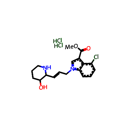 COC(=O)c1cn(C/C=C/C2NCCCC2O)c2cccc(Cl)c12.Cl.Cl